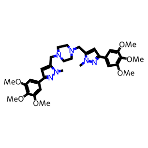 COc1cc(-c2cc(CN3CCN(Cc4cc(-c5cc(OC)c(OC)c(OC)c5)nn4C)CC3)n(C)n2)cc(OC)c1OC